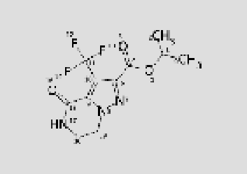 CC(C)OC(=O)c1nn2c(c1C(F)(F)F)C(=O)NCC2